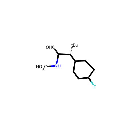 CC(C)(C)[C@H](C1CCC(F)CC1)C(C=O)NC(=O)O